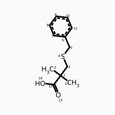 CC(C)(CSCc1ccccc1)C(=O)O